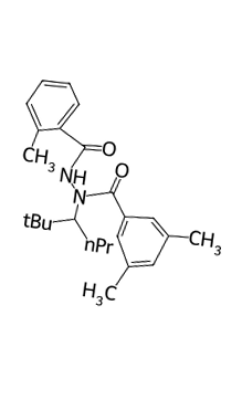 CCCC(N(NC(=O)c1ccccc1C)C(=O)c1cc(C)cc(C)c1)C(C)(C)C